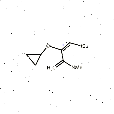 C=C(NC)/C(=C\C(C)(C)C)OC1CC1